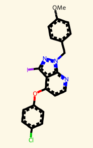 COc1ccc(Cn2nc(I)c3c(Oc4ccc(Cl)cc4)ccnc32)cc1